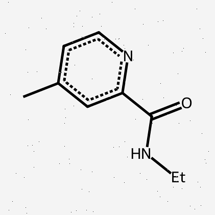 CCNC(=O)c1cc(C)ccn1